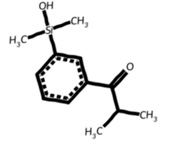 CC(C)C(=O)c1cccc([Si](C)(C)O)c1